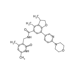 Cc1cc(C)c(CNC(=O)c2cc(-c3ccc(N4CCOCC4)nc3)c3c(c2C)C(C)CO3)c(=O)[nH]1